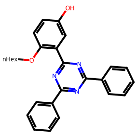 CCCCCCOc1ccc(O)cc1-c1nc(-c2ccccc2)nc(-c2ccccc2)n1